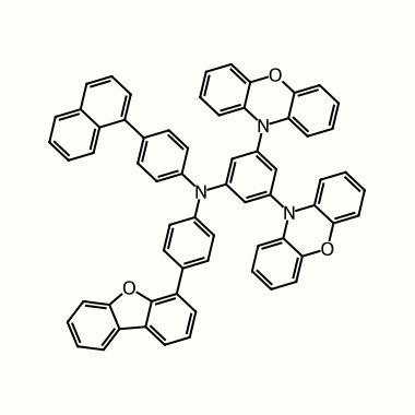 c1ccc2c(c1)Oc1ccccc1N2c1cc(N(c2ccc(-c3cccc4ccccc34)cc2)c2ccc(-c3cccc4c3oc3ccccc34)cc2)cc(N2c3ccccc3Oc3ccccc32)c1